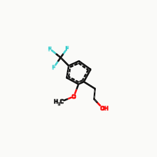 COc1cc(C(F)(F)F)ccc1CCO